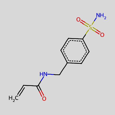 C=CC(=O)NCc1ccc(S(N)(=O)=O)cc1